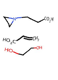 C=CC(=O)O.O=C(O)CCN1CC1.OCCO